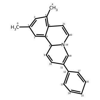 Cc1cc(C)c2c(c1)C1C=CC(c3ccccc3)=CN1C=C2